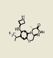 C[C@@H]1C(=O)NN=C2COc3cc([C@@H](C)C(F)(F)F)c(NC4CNC4)cc3N21